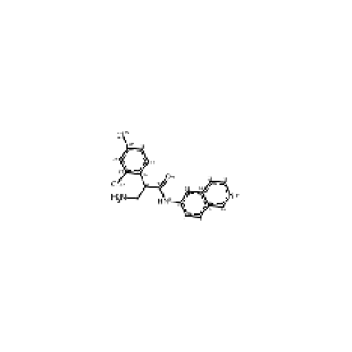 NCC(C(=O)Nc1ccc2cnccc2c1)c1ccc(Cl)cc1Cl